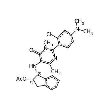 CC(=O)O[C@H]1Cc2ccccc2[C@H]1Nc1c(C)nc(-c2ccc(N(C)C)cc2Cl)n(C)c1=O